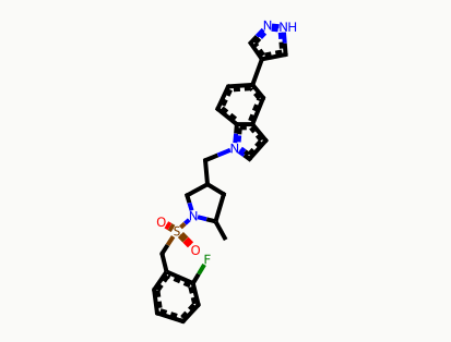 CC1CC(Cn2ccc3cc(-c4cn[nH]c4)ccc32)CN1S(=O)(=O)Cc1ccccc1F